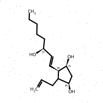 C=CCC1[C@H](O)C[C@H](O)[C@@H]1C=C[C@@H](O)CCCCC